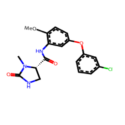 COc1ccc(Oc2cccc(Cl)c2)cc1NC(=O)[C@@H]1CNC(=O)N1C